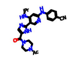 CC(=O)N1CCN(C(=O)c2cnc(-c3cnc(Nc4ccc(C#N)cc4)cc3NC(C)C)[nH]2)CC1